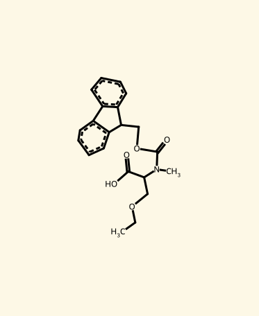 CCOCC(C(=O)O)N(C)C(=O)OCC1c2ccccc2-c2ccccc21